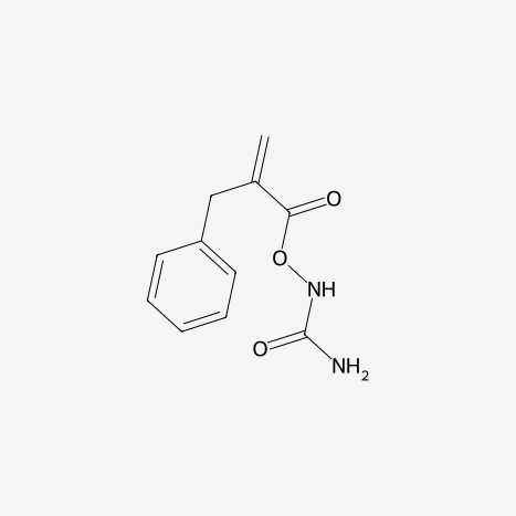 C=C(Cc1ccccc1)C(=O)ONC(N)=O